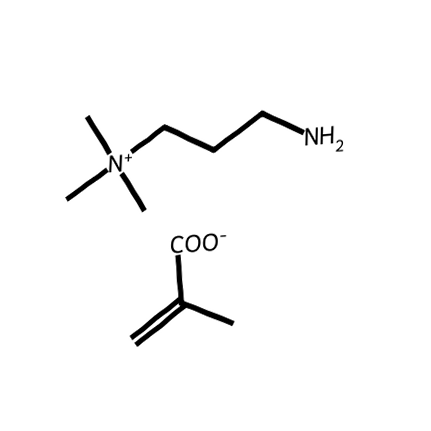 C=C(C)C(=O)[O-].C[N+](C)(C)CCCN